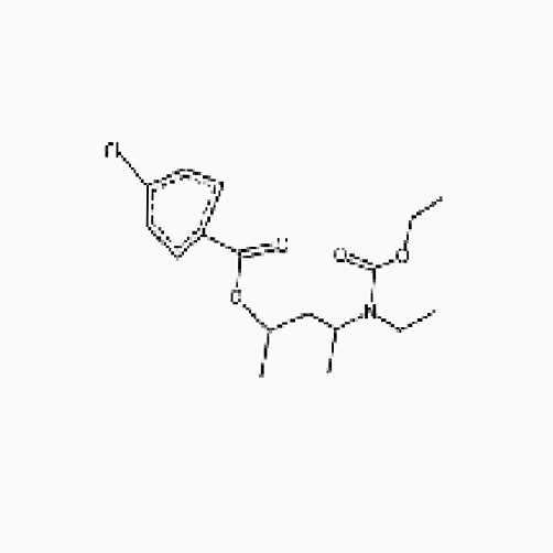 CCOC(=O)N(CC)C(C)CC(C)OC(=O)c1ccc(Cl)cc1